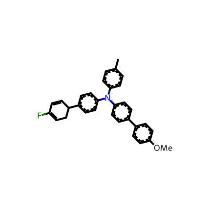 COc1ccc(-c2ccc(N(c3ccc(C)cc3)c3ccc(C4C=CC(F)=CC4)cc3)cc2)cc1